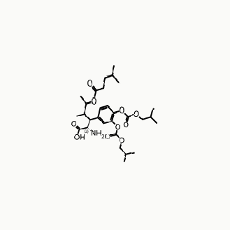 CC(C)CCC(=O)OC(C)C(C)C(c1ccc(OC(=O)OCC(C)C)c(OC(=O)OCC(C)C)c1)[C@H](N)C(=O)O